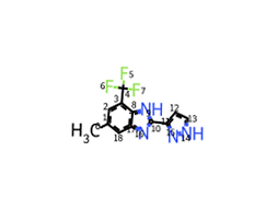 Cc1cc(C(F)(F)F)c2[nH]c(-c3cc[nH]n3)nc2c1